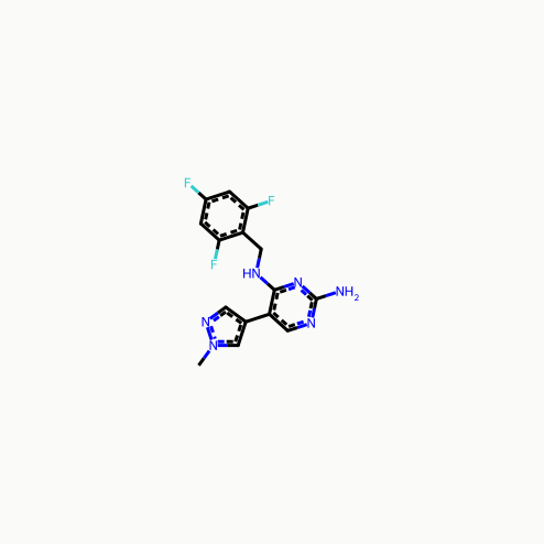 Cn1cc(-c2cnc(N)nc2NCc2c(F)cc(F)cc2F)cn1